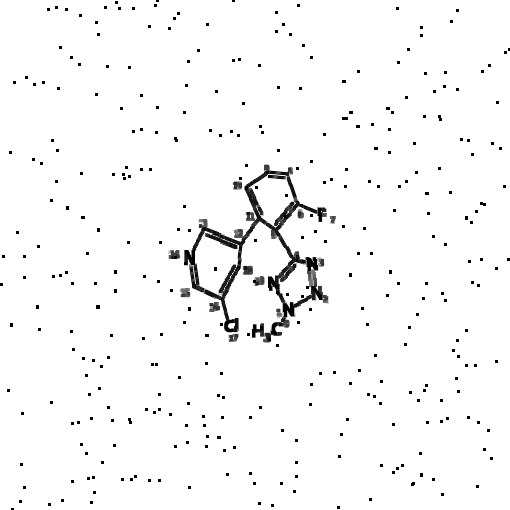 Cn1nnc(-c2c(F)cccc2-c2cncc(Cl)c2)n1